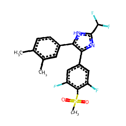 Cc1ccc(-c2[nH]c(C(F)F)nc2-c2cc(F)c(S(C)(=O)=O)c(F)c2)cc1C